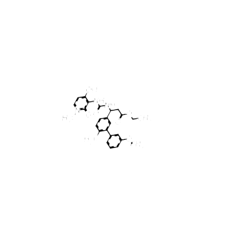 CCOC(=O)CC(NC(=O)Nc1c(O)ccn(C)c1=O)c1ccc(C)c(-c2cccc(OC)c2)c1